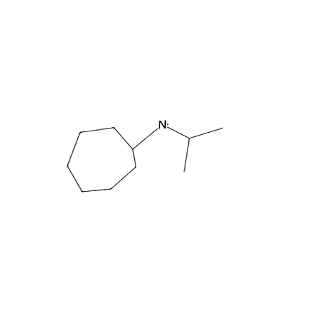 CC(C)[N]C1CCCCCC1